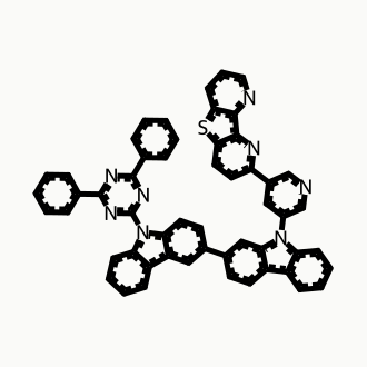 c1ccc(-c2nc(-c3ccccc3)nc(-n3c4ccccc4c4cc(-c5ccc6c7ccccc7n(-c7cncc(-c8ccc9sc%10cccnc%10c9n8)c7)c6c5)ccc43)n2)cc1